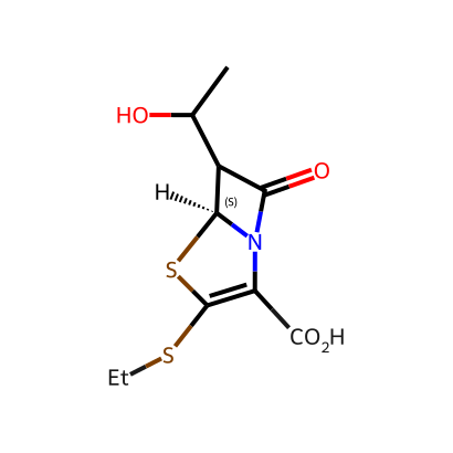 CCSC1=C(C(=O)O)N2C(=O)C(C(C)O)[C@@H]2S1